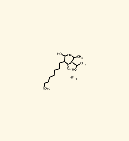 CCCCCCCCCCCCCCCCCC(C(C)O)N(CCC)N(C(C)O)C(C)O.F.F